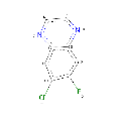 Fc1cc2n[c]cnc2cc1Cl